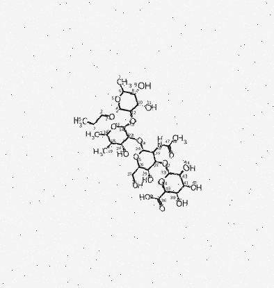 CCCO[C@@H]1OC(C)[C@H](O)[C@H](O)C1O[C@@H]1OC(C)[C@H](C)[C@H](O)C1O[C@@H]1OC(CO)[C@H](O)[C@H](O[C@@H]2OC(C(=O)O)[C@H](O)[C@H](O)C2O)C1NC(C)=O